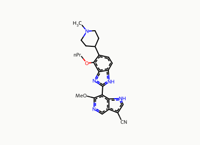 CCCOc1c(C2CCN(C)CC2)ccc2[nH]c(-c3c(OC)ncc4c(C#N)c[nH]c34)nc12